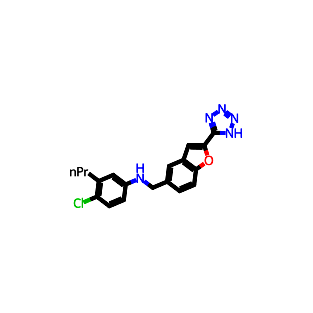 CCCc1cc(NCc2ccc3oc(-c4nnn[nH]4)cc3c2)ccc1Cl